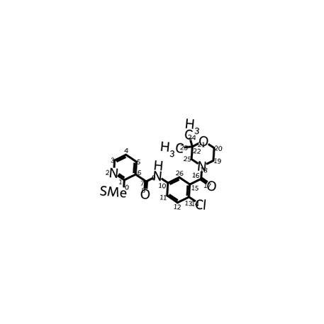 CSc1ncccc1C(=O)Nc1ccc(Cl)c(C(=O)N2CCOC(C)(C)C2)c1